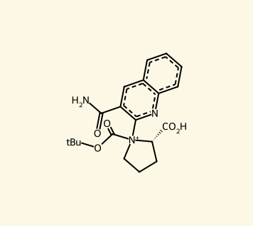 CC(C)(C)OC(=O)[N+]1(c2nc3ccccc3cc2C(N)=O)CCC[C@H]1C(=O)O